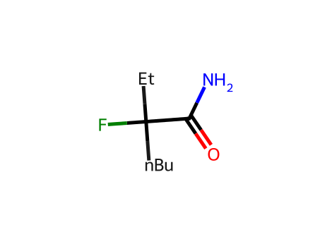 CCCCC(F)(CC)C(N)=O